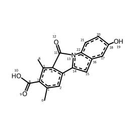 Cc1cc2c(c(C)c1C(=O)O)C(=O)n1c-2cc2cc(O)ccc21